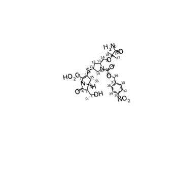 C[C@@H](O)[C@H]1C(=O)N2C(C(=O)O)=C(S[C@H]3C[C@@H](COC(C)(C)C(N)=O)N(C(=O)OCc4ccc([N+](=O)[O-])cc4)C3)[C@H](C)[C@H]12